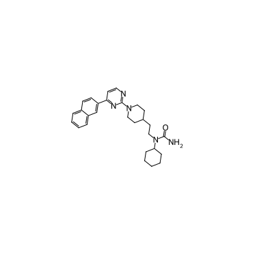 NC(=O)N(CCC1CCN(c2nccc(-c3ccc4ccccc4c3)n2)CC1)C1CCCCC1